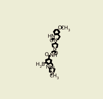 Bc1cc(C(=O)NCC(=O)N2CCC(N3CCc4cc(OC)ccc4NC3=O)CC2)cc(CN2CCN(C)CC2)c1N